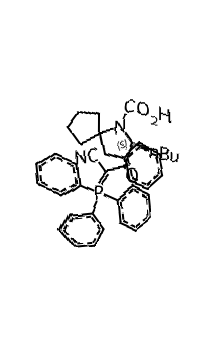 CCCC[C@@H](C(=O)C(C#N)=P(c1ccccc1)(c1ccccc1)c1ccccc1)N(C(=O)O)C1(Cc2ccccc2)CCCC1